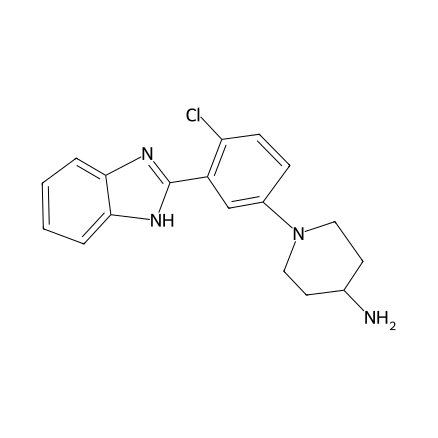 NC1CCN(c2ccc(Cl)c(-c3nc4ccccc4[nH]3)c2)CC1